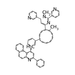 C=N/C(=N\C(=C/Cc1cccnc1)c1ccc(C(/C=C\C=C\c2cc(-c3ccccc3)nc3ccc4ccccc4c23)=C/C)cccccc1C)c1cccnc1